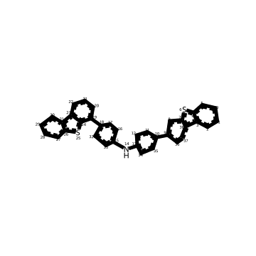 c1ccc2c(c1)sc1cc(-c3ccc(Nc4ccc(-c5cccc6c5sc5ccccc56)cc4)cc3)ccc12